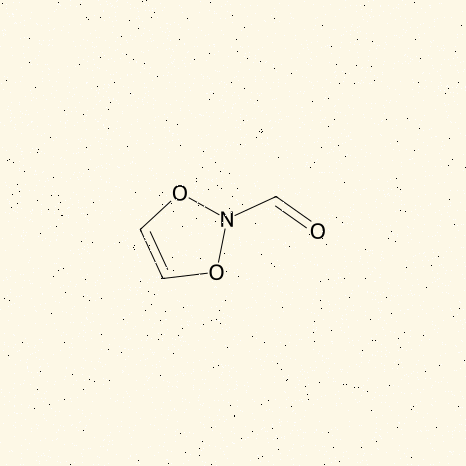 O=CN1OC=CO1